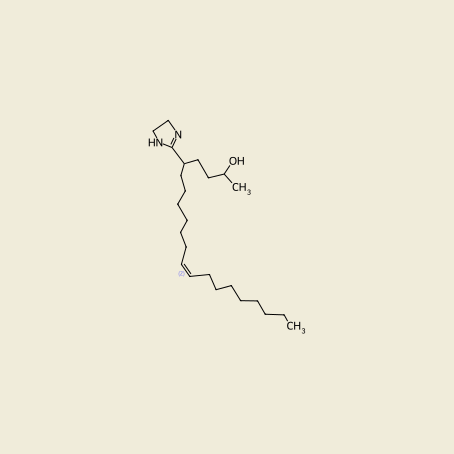 CCCCCCCC/C=C\CCCCCCC(CCC(C)O)C1=NCCN1